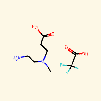 CN(CCN)CCC(=O)O.O=C(O)C(F)(F)F